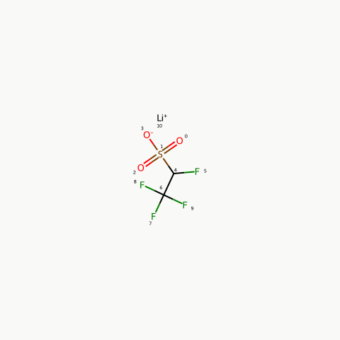 O=S(=O)([O-])C(F)C(F)(F)F.[Li+]